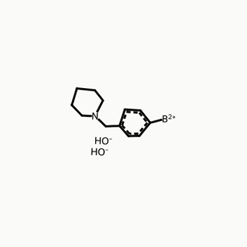 [B+2]c1ccc(CN2CCCCC2)cc1.[OH-].[OH-]